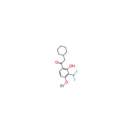 CCOc1ccc(C(=O)CC2CCCCC2)c(O)c1C(F)F